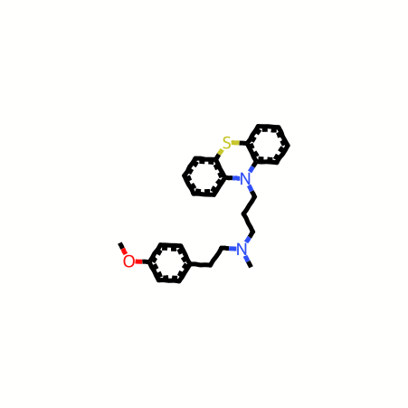 COc1ccc(CCN(C)CCCN2c3ccccc3Sc3ccccc32)cc1